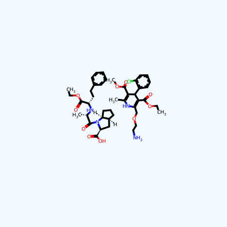 CCOC(=O)C1=C(COCCN)NC(C)=C(C(=O)OC)C1c1ccccc1Cl.CCOC(=O)[C@H](CCc1ccccc1)N[C@@H](C)C(=O)N1[C@H](C(=O)O)C[C@@H]2CCC[C@@H]21